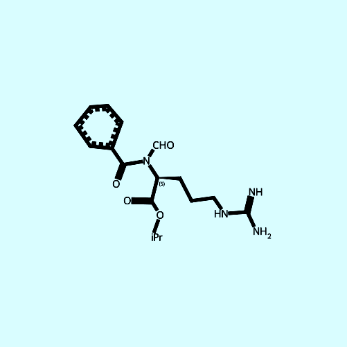 CC(C)OC(=O)[C@H](CCCNC(=N)N)N(C=O)C(=O)c1ccccc1